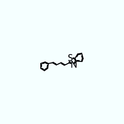 C(/C=C/c1nc2ccccc2s1)=C\c1ccccc1